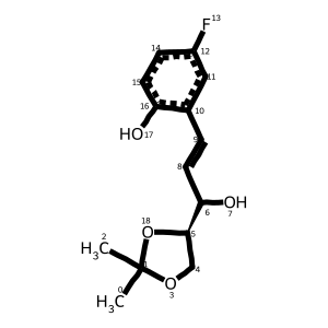 CC1(C)OC[C@H](C(O)/C=C/c2cc(F)ccc2O)O1